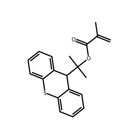 C=C(C)C(=O)OC(C)(C)C1c2ccccc2Sc2ccccc21